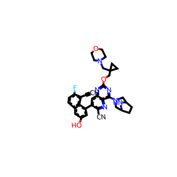 C#Cc1c(F)ccc2cc(O)cc(-c3cc4nc(OCC5(CN6CCOCC6)CC5)nc(N5CC6CCC(C5)N6)c4nc3C#N)c12